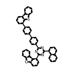 c1ccc2c(-c3nc(-c4ccc(-c5ccc(-c6cccc7c6sc6ccccc67)cc5)cc4)nc(-c4cccc5oc6ccccc6c45)n3)cccc2c1